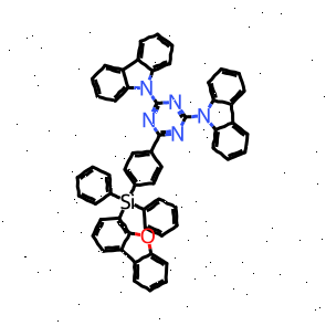 c1ccc([Si](c2ccccc2)(c2ccc(-c3nc(-n4c5ccccc5c5ccccc54)nc(-n4c5ccccc5c5ccccc54)n3)cc2)c2cccc3c2oc2ccccc23)cc1